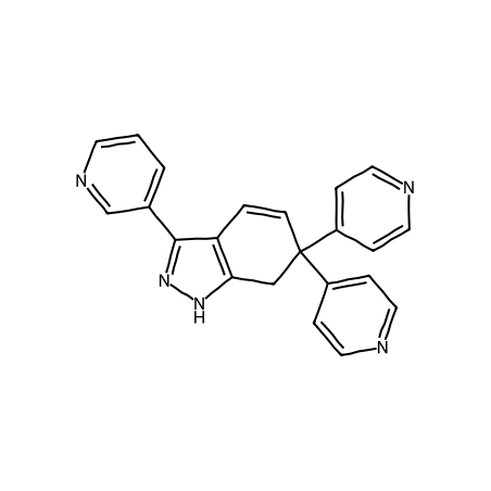 C1=CC(c2ccncc2)(c2ccncc2)Cc2[nH]nc(-c3cccnc3)c21